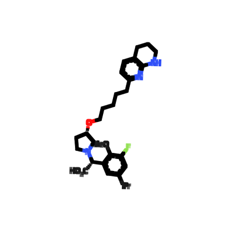 COc1c(F)cc(C(C)C)cc1[C@H](C(=O)O)N1CC[C@H](OCCCCCc2ccc3c(n2)NCCC3)C1